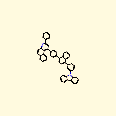 C1=CC(n2c3ccccc3c3ccccc32)=CC(c2ccc(-c3ccc(-c4cc(-c5ccccc5)nc5ccc6ccccc6c45)cc3)c3ccccc23)C1